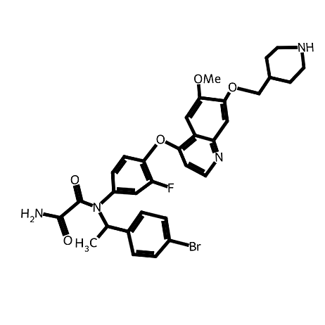 COc1cc2c(Oc3ccc(N(C(=O)C(N)=O)C(C)c4ccc(Br)cc4)cc3F)ccnc2cc1OCC1CCNCC1